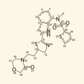 CN(c1cccc2cc(C3=NCC(CCN4CCOCC4=O)S3)[nH]c12)S(=O)(=O)c1cccs1